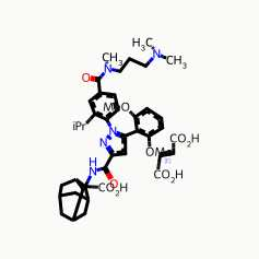 COc1cccc(OC)c1-c1cc(C(=O)NC2(C(=O)O)C3CC4CC(C3)CC2C4)nn1-c1ccc(C(=O)N(C)CCCN(C)C)cc1C(C)C.O=C(O)/C=C/C(=O)O